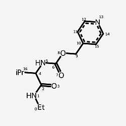 CCNC(=O)C(NC(=O)OCc1ccncc1)C(C)C